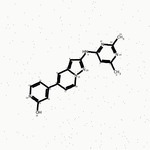 Cc1cc(Nc2cc3cc(-c4ccnc(O)c4)ccn3n2)nc(C)n1